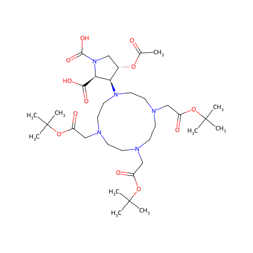 CC(=O)O[C@H]1CN(C(=O)O)[C@H](C(=O)O)[C@@H]1N1CCN(CC(=O)OC(C)(C)C)CCN(CC(=O)OC(C)(C)C)CCN(CC(=O)OC(C)(C)C)CC1